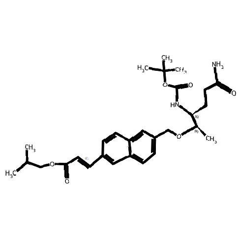 CC(C)COC(=O)/C=C/c1ccc2cc(CO[C@H](C)[C@H](CCC(N)=O)NC(=O)OC(C)(C)C)ccc2c1